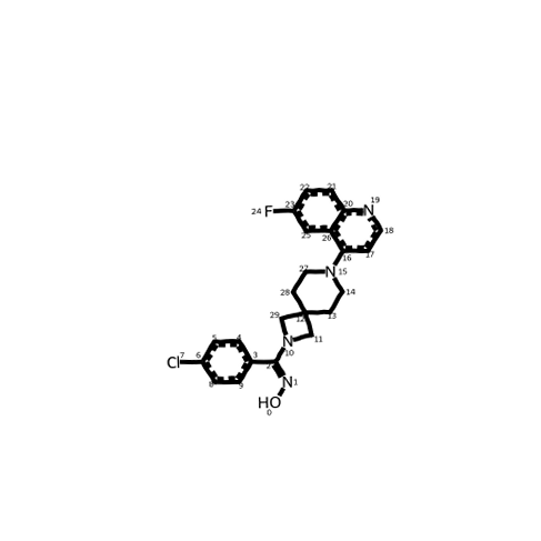 O/N=C(\c1ccc(Cl)cc1)N1CC2(CCN(c3ccnc4ccc(F)cc34)CC2)C1